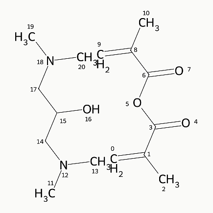 C=C(C)C(=O)OC(=O)C(=C)C.CN(C)CC(O)CN(C)C